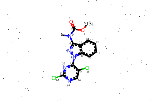 CN(C(=O)OC(C)(C)C)c1nn(-c2nc(Cl)ncc2Cl)c2ccccc12